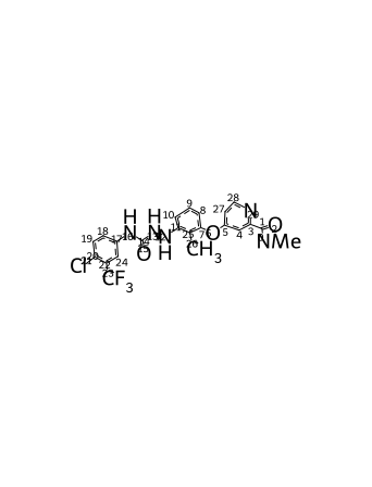 CNC(=O)c1cc(Oc2cccc(NNC(=O)Nc3ccc(Cl)c(C(F)(F)F)c3)c2C)ccn1